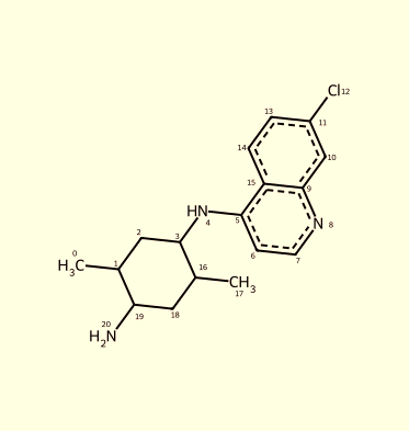 CC1CC(Nc2ccnc3cc(Cl)ccc23)C(C)CC1N